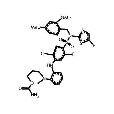 COc1ccc(CN(c2ncc(F)s2)S(=O)(=O)c2cc(Cl)c(Nc3ccccc3N(C)CCCOC(N)=O)cc2F)c(OC)c1